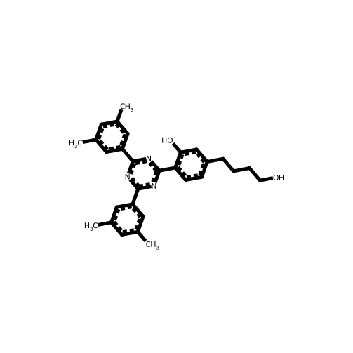 Cc1cc(C)cc(-c2nc(-c3cc(C)cc(C)c3)nc(-c3ccc(CCCCO)cc3O)n2)c1